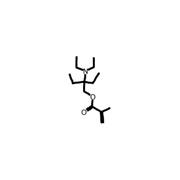 C=C(C)C(=O)OCC(CC)(CC)N(CC)CC